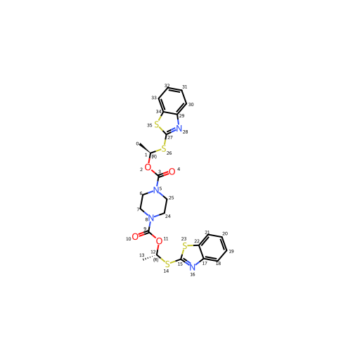 C[C@H](OC(=O)N1CCN(C(=O)O[C@@H](C)Sc2nc3ccccc3s2)CC1)Sc1nc2ccccc2s1